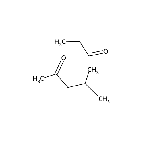 CC(=O)CC(C)C.CCC=O